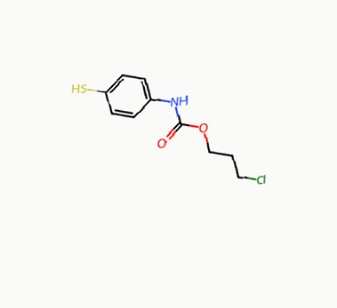 O=C(Nc1ccc(S)cc1)OCCCCl